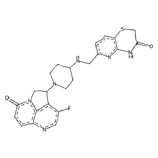 O=C1CSc2ccc(CNC3CCN(C4Cn5c(=O)ccc6ncc(F)c4c65)CC3)nc2N1